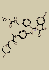 COCC(=O)NCc1cccc(/C(Nc2ccc(N(C)C(=O)CN3CCN(C)CC3)cc2)=C2/C(=O)Nc3cc(F)ccc32)c1